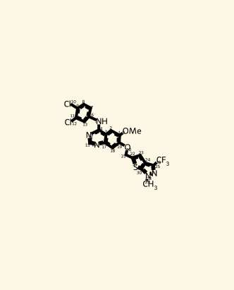 COc1cc2c(Nc3ccc(Cl)c(Cl)c3)ncnc2cc1OCc1cc2c(C(F)(F)F)nn(C)c2s1